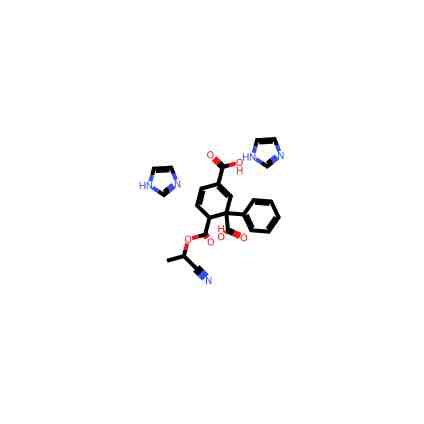 CC(C#N)OC(=O)C1C=CC(C(=O)O)=CC1(C(=O)O)c1ccccc1.c1c[nH]cn1.c1c[nH]cn1